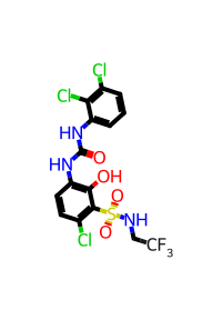 O=C(Nc1ccc(Cl)c(S(=O)(=O)NCC(F)(F)F)c1O)Nc1cccc(Cl)c1Cl